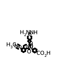 CN1CCN(c2cccc3c2CCN(C(=O)C2CC4(CCN(C(=N)N)CC4)C2)C3C(=O)Nc2ccc(C(=O)O)cc2)CC1